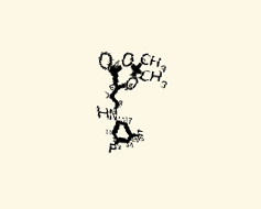 CC1(C)OC(=O)C(CCNc2cc(F)cc(F)c2)O1